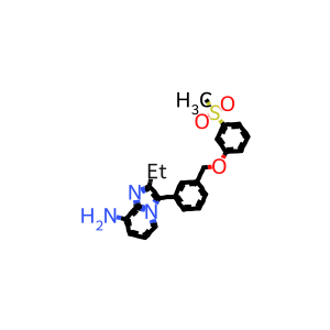 CCc1nc2c(N)cccn2c1-c1cccc(COc2cccc(S(C)(=O)=O)c2)c1